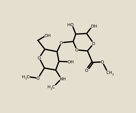 CNC1C(OC)OC(CO)C(OC2OC(C(=O)OC)OC(O)C2O)C1O